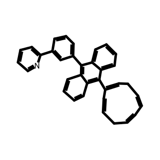 C1=C\C/C=C\C(c2c3ccccc3c(-c3cccc(-c4ccccn4)c3)c3ccccc23)=C/C\C=C/1